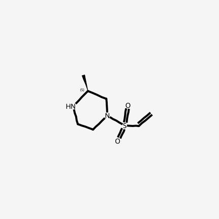 C=CS(=O)(=O)N1CCN[C@@H](C)C1